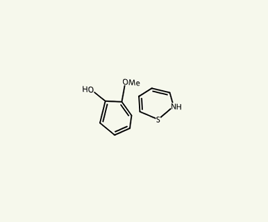 C1=CNSC=C1.COc1ccccc1O